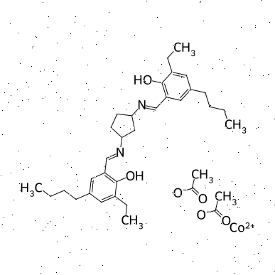 CC(=O)[O-].CC(=O)[O-].CCCCc1cc(C=NC2CCC(N=Cc3cc(CCCC)cc(CC)c3O)C2)c(O)c(CC)c1.[Co+2]